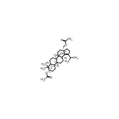 CC(=O)OC[C@]12CCC(C(C)C)=C1[C@H]1CC[C@@H]3[C@@]4(C)CC[C@H](OC(C)=O)C(C)(C)[C@H]4CC[C@@]3(C)[C@]1(C)CC2